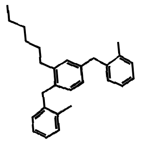 CCCCCCc1cc(Cc2ccccc2C)ccc1Cc1ccccc1C